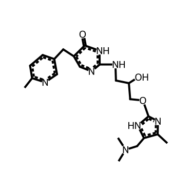 Cc1ccc(Cc2cnc(NCC(O)COc3nc(C)c(CN(C)C)[nH]3)[nH]c2=O)cn1